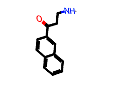 [NH]CCC(=O)c1ccc2ccccc2c1